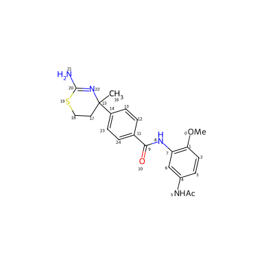 COc1ccc(NC(C)=O)cc1NC(=O)c1ccc(C2(C)CCSC(N)=N2)cc1